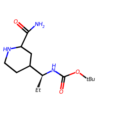 CC[C@H](NC(=O)OC(C)(C)C)C1CCNC(C(N)=O)C1